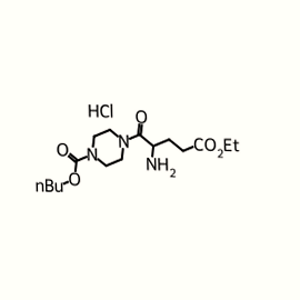 CCCCOC(=O)N1CCN(C(=O)C(N)CCC(=O)OCC)CC1.Cl